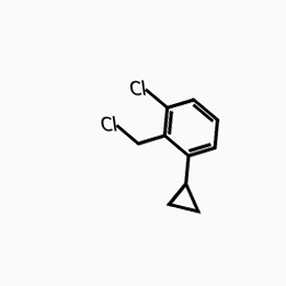 ClCc1c(Cl)cccc1C1CC1